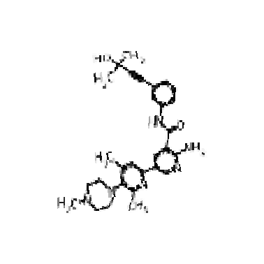 Cc1cc(-c2cnc(N)c(C(=O)Nc3cccc(C#CC(C)(C)O)c3)c2)nc(C)c1N1CCN(C)CC1